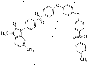 Cc1ccc(S(=O)(=O)c2ccc(Oc3ccc(Oc4ccc(S(=O)(=O)c5ccc(-n6c(=O)n(C)c7ccc(C)cc76)cc5)cc4)cc3)cc2)cc1